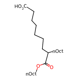 CCCCCCCCOC(=O)C(CCCCCCCC)CCCCCCC(=O)O